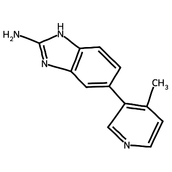 Cc1ccncc1-c1ccc2[nH]c(N)nc2c1